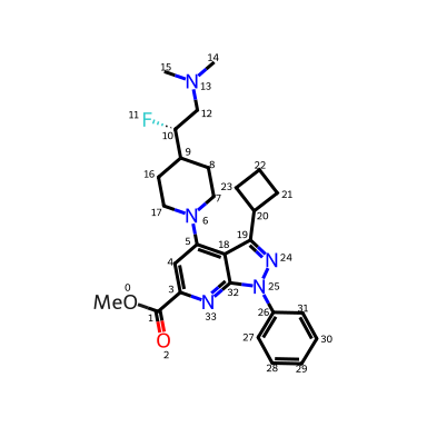 COC(=O)c1cc(N2CCC([C@H](F)CN(C)C)CC2)c2c(C3CCC3)nn(-c3ccccc3)c2n1